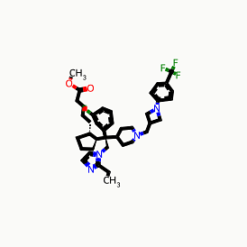 CCc1nccn1C[C@@](c1cccc(F)c1)(C1CCN(CC2CN(c3ccc(C(F)(F)F)cc3)C2)CC1)[C@H]1CCC[C@@H]1CCCCC(=O)OC